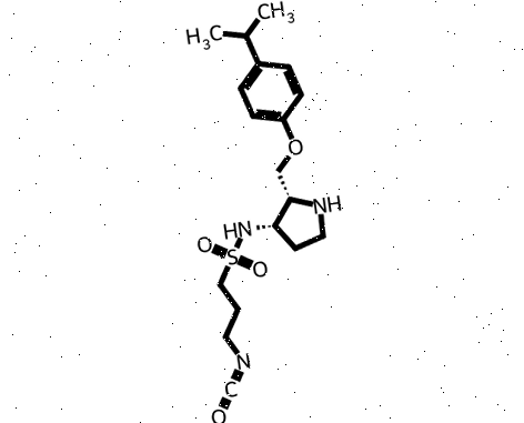 CC(C)c1ccc(OC[C@@H]2NCC[C@@H]2NS(=O)(=O)CCCN=C=O)cc1